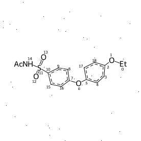 CCOc1ccc(Oc2ccc(S(=O)(=O)NC(C)=O)cc2)cc1